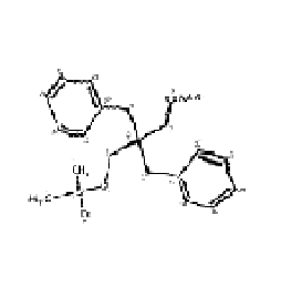 CC[Si](C)(C)OCC(COC)(Cc1ccccc1)Cc1ccccc1